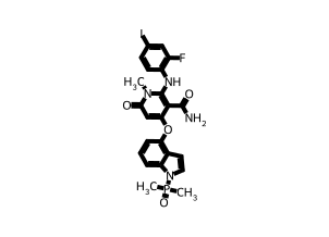 Cn1c(Nc2ccc(I)cc2F)c(C(N)=O)c(Oc2cccc3c2ccn3P(C)(C)=O)cc1=O